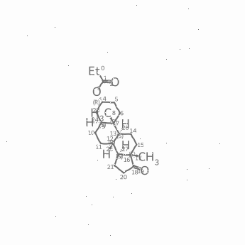 CCC(=O)O[C@@H]1CC[C@@]2(C)[C@@H](CC[C@@H]3[C@@H]2CC[C@]2(C)C(=O)CC[C@@H]32)C1